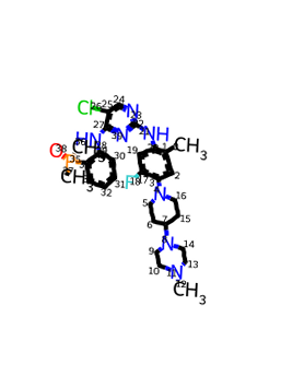 Cc1cc(N2CCC(N3CCN(C)CC3)CC2)c(F)cc1Nc1ncc(Cl)c(Nc2ccccc2P(C)(C)=O)n1